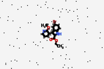 CCOC(=O)c1[nH]c2ccc(Br)cc2c1-c1cccnc1OC